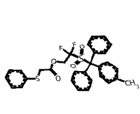 Cc1ccc(C(c2ccccc2)(c2ccccc2)S(=O)(=O)C(F)(F)COC(=O)CSc2ccccc2)cc1